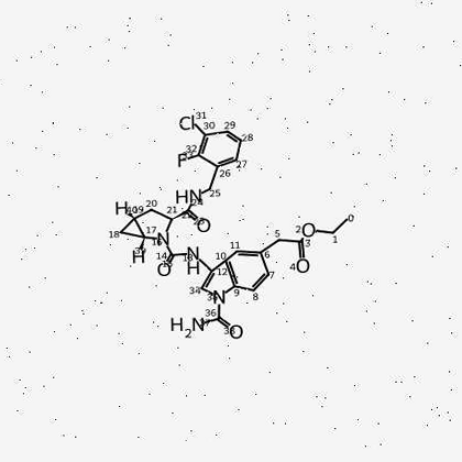 CCOC(=O)Cc1ccc2c(c1)c(NC(=O)N1[C@@H]3C[C@@H]3C[C@H]1C(=O)NCc1cccc(Cl)c1F)cn2C(N)=O